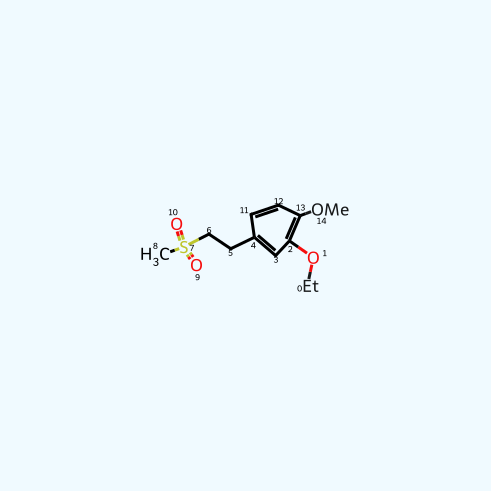 CCOc1cc(CCS(C)(=O)=O)ccc1OC